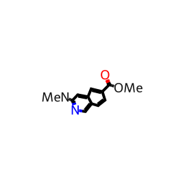 CNc1cc2cc(C(=O)OC)ccc2cn1